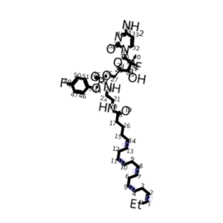 CC/C=C\C/C=C\C/C=C\C/C=C\C/C=C\CCCC(=O)NCCNP(=O)(OC[C@H]1O[C@@H](n2ccc(N)nc2=O)[C@](C)(F)[C@@H]1O)Oc1ccc(F)cc1